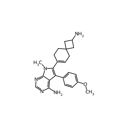 COc1ccc(-c2c(C3=CCC4(CC3)CC(N)C4)n(C)c3ncnc(N)c23)cc1